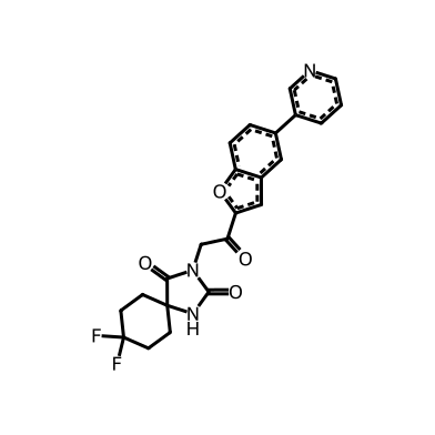 O=C(CN1C(=O)NC2(CCC(F)(F)CC2)C1=O)c1cc2cc(-c3cccnc3)ccc2o1